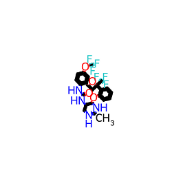 CC1NCC(NC(=O)Nc2ccc(OC(F)(F)F)cc2)C(Oc2ccccc2C2(C(F)(F)F)CCO2)N1